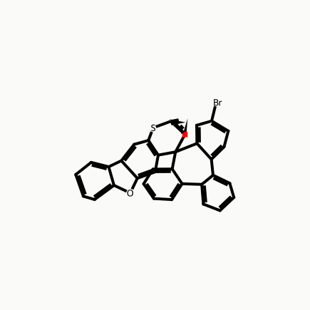 Brc1ccc2c(c1)C1(c3ccccc3Sc3cc4c(cc31)oc1ccccc14)c1ccccc1-c1ccccc1-2